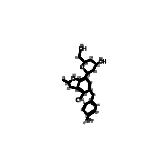 CCCc1ccc(Cc2cc(C3CC(O)CC(CO)O3)c3c(c2Cl)CC(C)O3)cc1